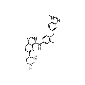 Cc1cc(Nc2ncnc3ccc(N4CCNC[C@@H]4C)nc23)ccc1Cc1ccc2c(c1)ncn2C